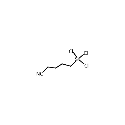 N#CCCCC[Si](Cl)(Cl)Cl